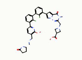 COC(=O)C1CN(Cc2nn3cc(-c4cccc(-c5cccc(-c6ccc(CNC[C@@H]7CCC(=O)N7)c(OC)n6)c5Cl)c4Cl)cc3c(=O)n2C)C1